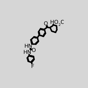 O=C(Nc1ccc(F)cc1)Nc1ccc(-c2ccc(C(=O)C3CCCCC3C(=O)O)cc2)cc1